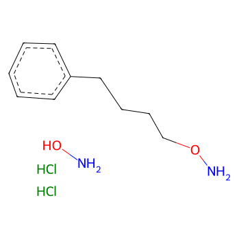 Cl.Cl.NO.NOCCCCc1ccccc1